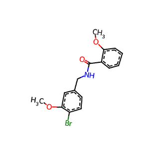 COc1cc(CNC(=O)c2ccccc2OC)ccc1Br